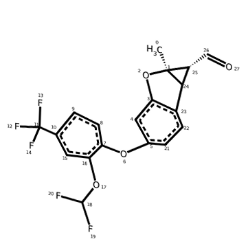 C[C@@]12Oc3cc(Oc4ccc(C(F)(F)F)cc4OC(F)F)ccc3C1[C@H]2C=O